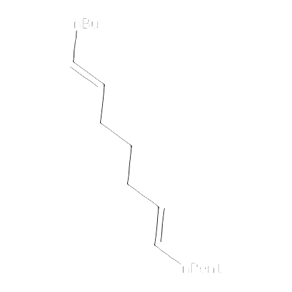 [CH2]CCCCC=CCCCC=CCCCC